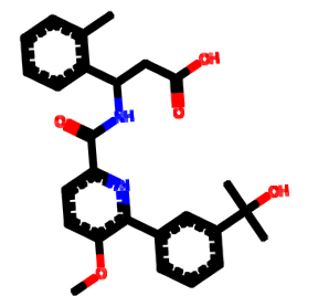 COc1ccc(C(=O)NC(CC(=O)O)c2ccccc2C)nc1-c1cccc(C(C)(C)O)c1